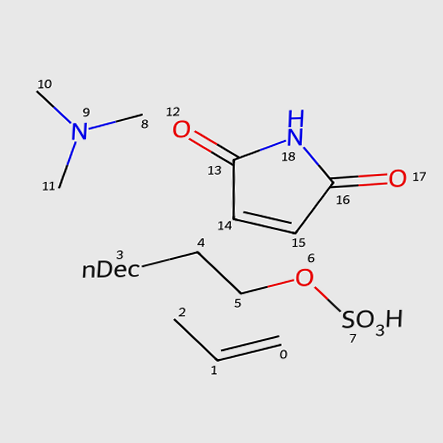 C=CC.CCCCCCCCCCCCOS(=O)(=O)O.CN(C)C.O=C1C=CC(=O)N1